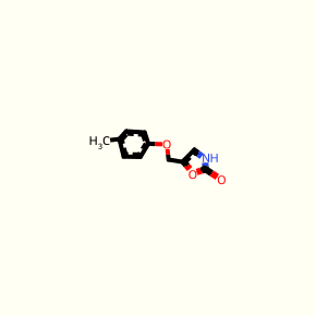 Cc1ccc(OCc2c[nH]c(=O)o2)cc1